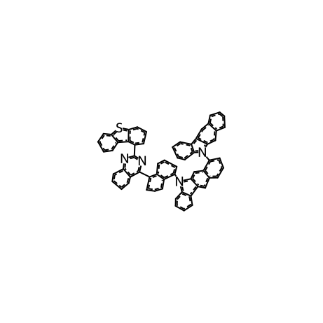 c1ccc2cc3c(cc2c1)c1ccccc1n3-c1cccc2cc3c4ccccc4n(-c4cccc5c(-c6nc(-c7cccc8sc9ccccc9c78)nc7ccccc67)cccc45)c3cc12